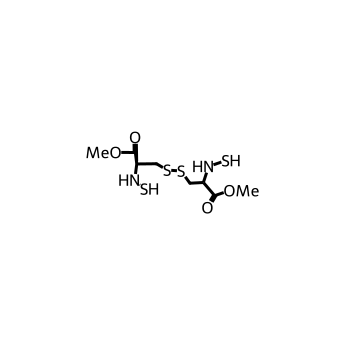 COC(=O)C(CSSCC(NS)C(=O)OC)NS